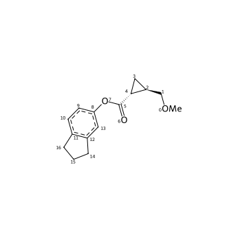 COC[C@@H]1C[C@H]1C(=O)Oc1ccc2c(c1)CCC2